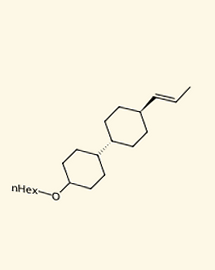 C/C=C/[C@H]1CC[C@H](C2CCC(OCCCCCC)CC2)CC1